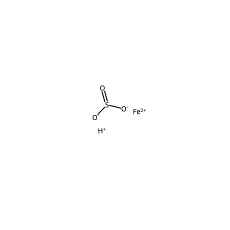 O=S([O-])[O-].[Fe+2].[H+]